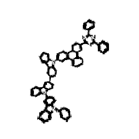 C1=CC2c3ccc(-n4c5ccccc5c5cc(-c6ccc7c(c6)c6ccccc6n7-c6ccc7c(c6)c6ccccc6n7-c6ccccc6)ccc54)cc3-c3ccccc3C2C=C1c1nc(-c2ccccc2)nc(-c2ccccc2)n1